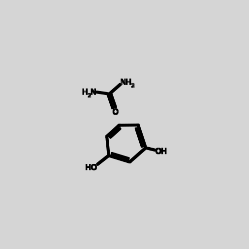 NC(N)=O.Oc1cccc(O)c1